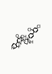 Cn1c(N2CCN[C@@H](c3ccc(-c4ccc(Cl)cc4Cl)cc3)C2)nc(-c2ccncc2F)cc1=O